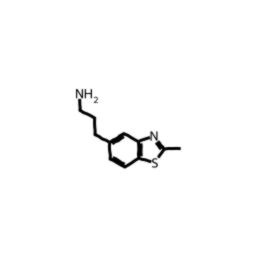 Cc1nc2cc(CCCN)ccc2s1